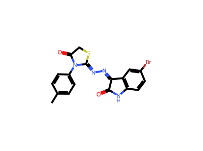 Cc1ccc(N2C(=O)CSC2=NN=C2C(=O)Nc3ccc(Br)cc32)cc1